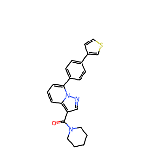 O=C(c1cnn2c(-c3ccc(-c4ccsc4)cc3)cccc12)N1CCCCC1